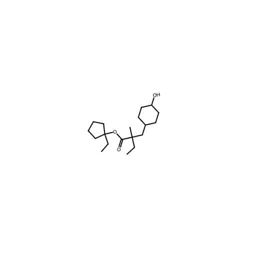 CCC1(OC(=O)C(C)(CC)CC2CCC(O)CC2)CCCC1